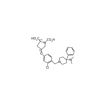 CN(C)C1(c2ccccc2)CCN(Cc2ccc(O[C@H]3C[C@@H](C(=O)O)N(C(=O)O)C3)cc2Cl)CC1